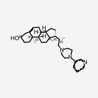 C[C@H](CN1CCN(c2cccnc2)CC1)[C@H]1CC[C@H]2[C@@H]3CC=C4C[C@@H](O)CC[C@]4(C)[C@H]3CC[C@]12C